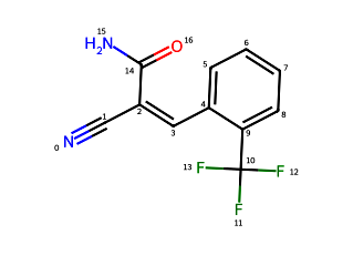 N#CC(=Cc1ccccc1C(F)(F)F)C(N)=O